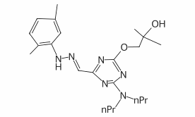 CCCN(CCC)c1nc(/C=N/Nc2cc(C)ccc2C)nc(OCC(C)(C)O)n1